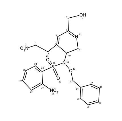 O=[N+]([O-])CCC1=CC(CO)=NCC1N(OCc1ccccc1)S(=O)(=O)c1ccccc1[N+](=O)[O-]